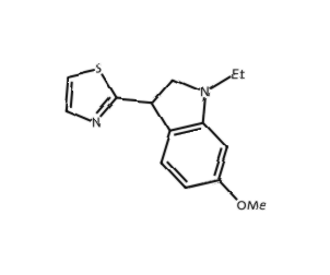 CCN1CC(c2nccs2)c2ccc(OC)cc21